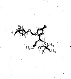 C=CC[C@H](N[S+]([O-])C(C)(C)C)c1nc(Br)cn1COCC[Si](C)(C)C